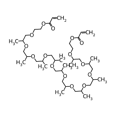 C=CC(=O)OCCOCC(C)OCC(C)OCC(C)OCC(C)OCC(C)OCC(C)OCC(C)OCC(C)OCC(C)OCC(C)OCCOC(=O)C=C